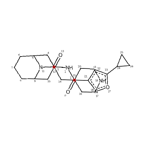 O=C(NC1CC2CCCC(C1)N2C(=O)CC1CCNCC1)c1cc(C2CC2)on1